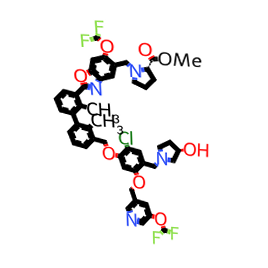 COC(=O)[C@@H]1CCCN1Cc1cc2nc(-c3cccc(-c4cccc(COc5cc(OCc6cncc(OC(F)F)c6)c(CN6CC[C@@H](O)C6)cc5Cl)c4C)c3C)oc2cc1OC(F)F